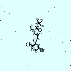 CCN(C[C@@H](C)COc1cc(Br)cnc1Cl)C(=O)OC(C)(C)C